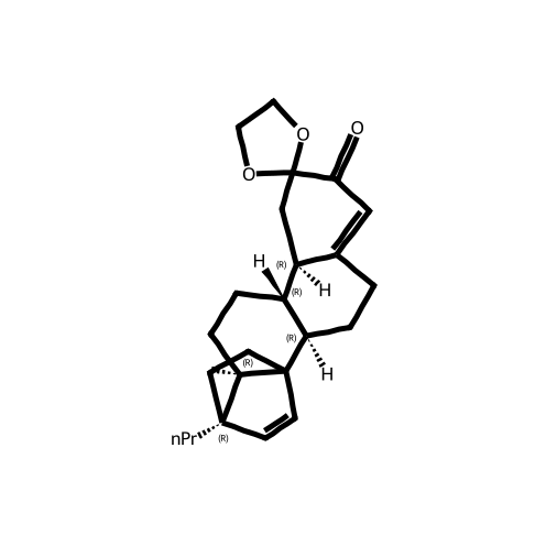 CCC[C@]12C=CC3(CC1)[C@@H]1CCC4=CC(=O)C5(C[C@@H]4[C@H]1CC[C@@]32C)OCCO5